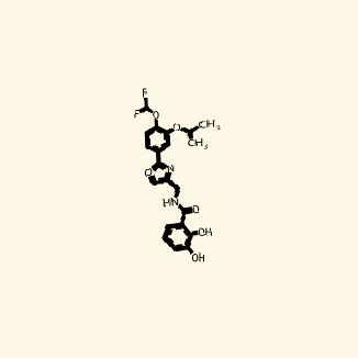 CC(C)Oc1cc(-c2nc(CNC(=O)c3cccc(O)c3O)co2)ccc1OC(F)F